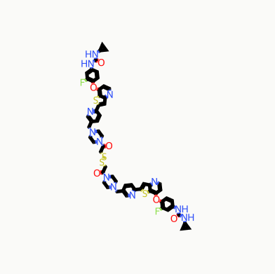 O=C(Nc1ccc(Oc2ccnc3cc(-c4ccc(CN5CCN(C(=O)CSSCC(=O)N6CCN(Cc7ccc(-c8cc9nccc(Oc%10ccc(NC(=O)NC%11CC%11)cc%10F)c9s8)nc7)CC6)CC5)cn4)sc23)c(F)c1)NC1CC1